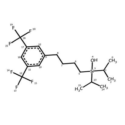 CC(C)[Si](O)(CCCCc1cc(C(F)(F)F)cc(C(F)(F)F)c1)C(C)C